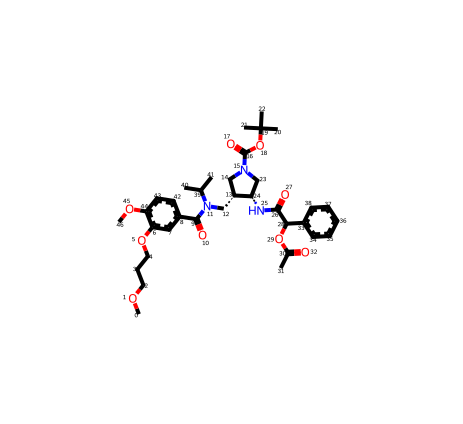 COCCCOc1cc(C(=O)N(C[C@@H]2CN(C(=O)OC(C)(C)C)C[C@@H]2NC(=O)C(OC(C)=O)c2ccccc2)C(C)C)ccc1OC